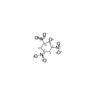 O=C1C([N+](=O)[O-])CC([N+](=O)[O-])CC1[N+](=O)[O-]